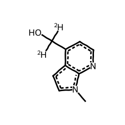 [2H]C([2H])(O)c1ccnc2c1ccn2C